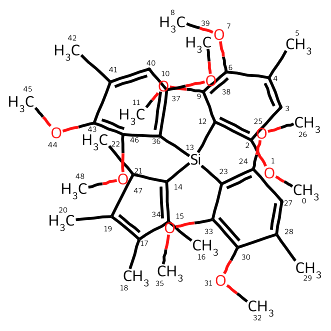 COc1cc(C)c(OC)c(OC)c1[Si](C1=C(C)C(C)=C(C)C1C)(c1c(OC)cc(C)c(OC)c1OC)c1c(OC)cc(C)c(OC)c1OC